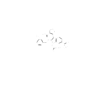 COC(=O)C1=C(c2c(CCc3ccccc3)n(CC(=O)O)c3cc(C(=O)O)ccc23)CCC1